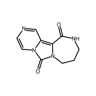 O=C1NCCCn2c1c1cnccn1c2=O